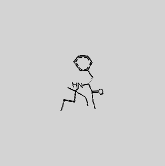 CCCC(C)(CC)N[C@H](Cc1ccccc1)C(=O)CC